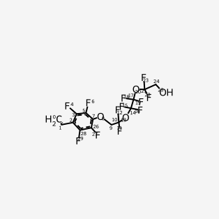 C=Cc1c(F)c(F)c(OCC(F)(F)OC(F)(F)C(F)(F)OC(F)(F)CO)c(F)c1F